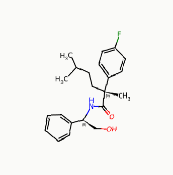 CC(C)CC[C@@](C)(C(=O)N[C@@H](CO)c1ccccc1)c1ccc(F)cc1